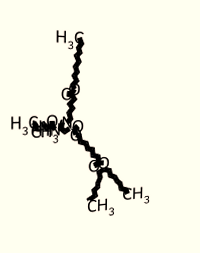 CCCCCCCCCCCOC(=O)CCCCCN1C[C@@H](NC(=O)CCN(C)C)C[C@H]1C(=O)OCCCCCCCC(=O)OC(CCCCCCCC)CCCCCCCC